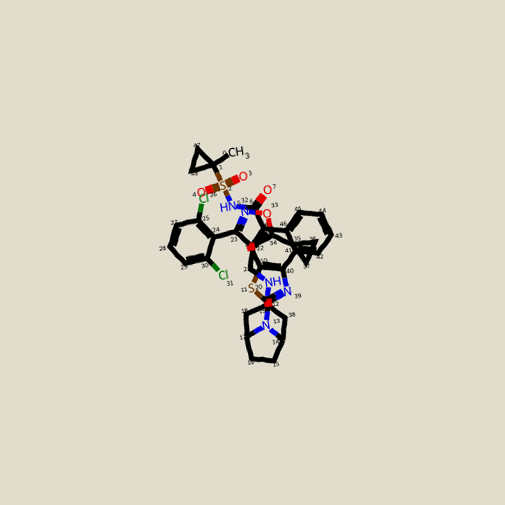 CC1(S(=O)(=O)NC(=O)c2cc3sc(N4C5CCC4CC(NCc4c(-c6c(Cl)cccc6Cl)noc4C4CC4)C5)nc3c3ccccc23)CC1